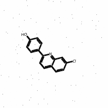 Oc1ccc(-c2ccc3ccc(Cl)cc3n2)cc1